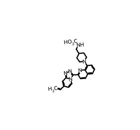 C=Cc1ccn2c(-c3ccc4cccc(N5CCC(CNC(=O)O)CC5)c4n3)nnc2c1